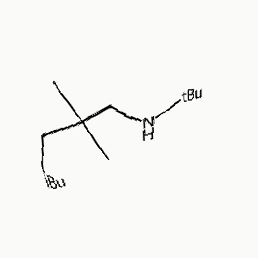 CCC(C)CC(C)(C)CNC(C)(C)C